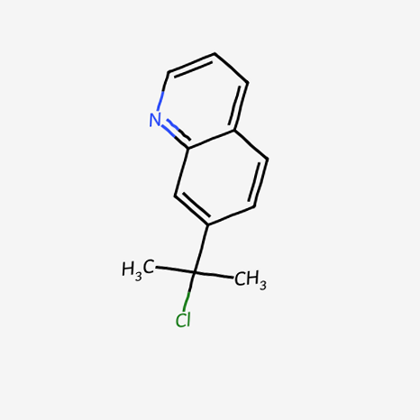 CC(C)(Cl)c1ccc2cccnc2c1